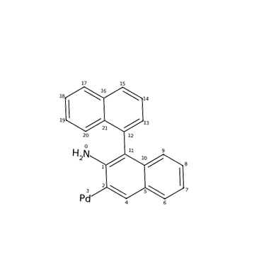 Nc1[c]([Pd])cc2ccccc2c1-c1cccc2ccccc12